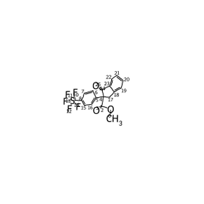 COC(=O)C1(c2ccc(S(F)(F)(F)(F)F)cc2)Cc2ccccc2C1=O